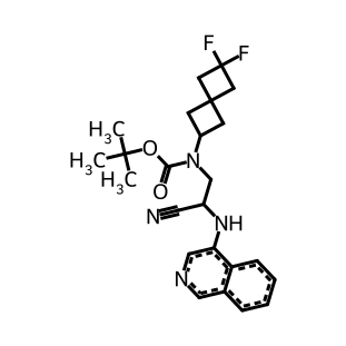 CC(C)(C)OC(=O)N(CC(C#N)Nc1cncc2ccccc12)C1CC2(C1)CC(F)(F)C2